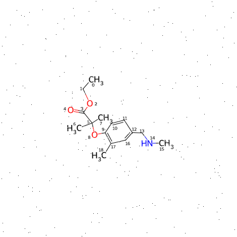 CCOC(=O)C(C)(C)Oc1ccc(CNC)cc1C